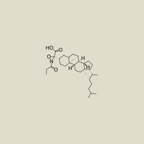 CCC(=O)N1OC1(C(=O)O)[C@H]1CC[C@@]2(C)C(CC[C@H]3[C@@H]4CC[C@H](C(C)CCCC(C)C)[C@@]4(C)CC[C@@H]32)C1